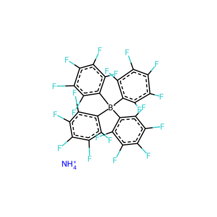 Fc1c(F)c(F)c([B-](c2c(F)c(F)c(F)c(F)c2F)(c2c(F)c(F)c(F)c(F)c2F)c2c(F)c(F)c(F)c(F)c2F)c(F)c1F.[NH4+]